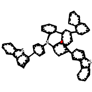 c1cc(-c2ccccc2N(c2ccc(-c3ccc4sc5ccccc5c4c3)cc2)c2ccc(-c3cccc4c3sc3ccccc34)cc2)cc(-c2cccc3ccccc23)c1